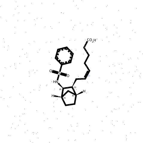 O=C(O)CCC/C=C\C[C@H]1[C@@H]2CC[C@@H](C2)[C@H]1NS(=O)(=O)c1ccccc1